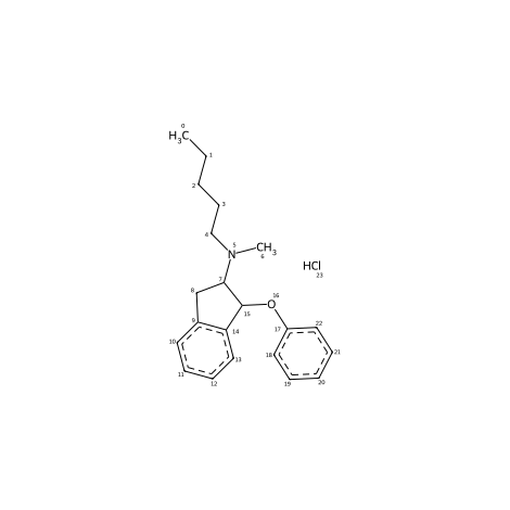 CCCCCN(C)C1Cc2ccccc2C1Oc1ccccc1.Cl